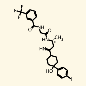 C[C@H](CC(=N)C1CCC(O)(c2ccc(I)cc2)CC1)NC(=O)CNC(=O)c1cccc(C(F)(F)F)c1